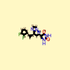 O=c1[nH]cc(-c2cc([C@@H]3C[C@H]3c3cccc(F)c3F)c3nccn3n2)c(=O)[nH]1